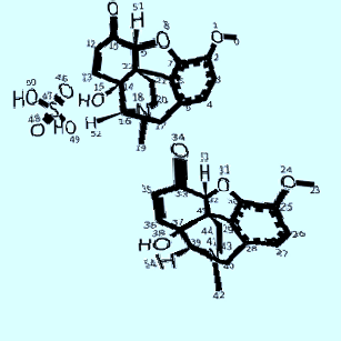 COc1ccc2c3c1O[C@H]1C(=O)C=C[C@@]4(O)[C@@H](C2)N(C)CC[C@]314.COc1ccc2c3c1O[C@H]1C(=O)C=C[C@@]4(O)[C@@H](C2)N(C)CC[C@]314.O=S(=O)(O)O